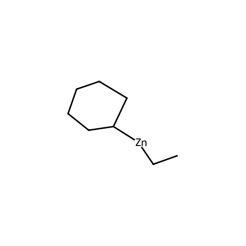 C[CH2][Zn][CH]1CCCCC1